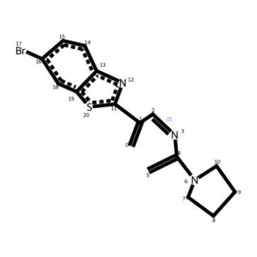 C=C(/C=N\C(=C)N1CCCC1)c1nc2ccc(Br)cc2s1